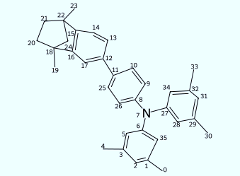 Cc1cc(C)cc(N(c2ccc(-c3ccc4c(c3)C3(C)CCC4(C)C3)cc2)c2cc(C)cc(C)c2)c1